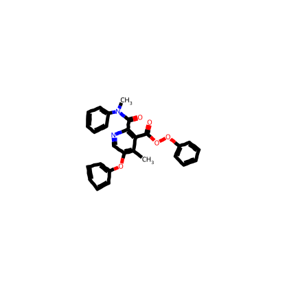 Cc1c(Oc2ccccc2)cnc(C(=O)N(C)c2ccccc2)c1C(=O)OOc1ccccc1